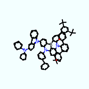 CC(C)(C)c1cc(-c2ccc3c(c2)N(c2c(-c4ccccc4)cccc2-c2ccccc2)c2cc(C(C)(C)C)cc4c2B3c2ccc(-n3c5ccccc5c5cc(N(c6ccccc6)c6ccccc6)ccc53)cc2N4c2cccc(-c3ccccc3)c2)cc(C(C)(C)C)c1